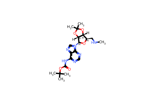 CNC[C@H]1O[C@@H](n2cnc3c(NC(=O)OC(C)(C)C)ncnc32)[C@@H]2OC(C)(C)O[C@@H]21